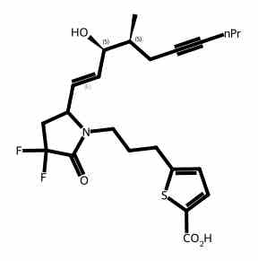 CCCC#CC[C@H](C)[C@H](O)/C=C/C1CC(F)(F)C(=O)N1CCCc1ccc(C(=O)O)s1